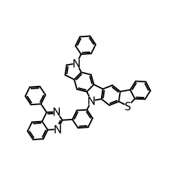 c1ccc(-c2nc(-c3cccc(-n4c5cc6ccn(-c7ccccc7)c6cc5c5cc6c(cc54)sc4ccccc46)c3)nc3ccccc23)cc1